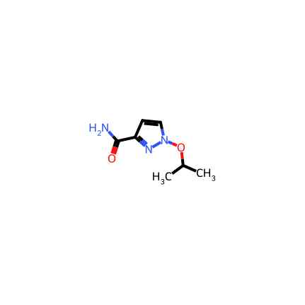 CC(C)On1ccc(C(N)=O)n1